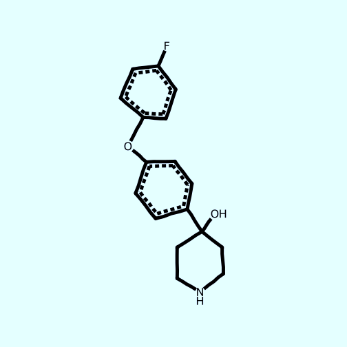 OC1(c2ccc(Oc3ccc(F)cc3)cc2)CCNCC1